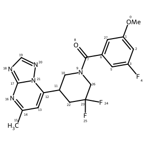 COc1cc(F)cc(C(=O)N2CC(c3cc(C)nc4ncnn34)CC(F)(F)C2)c1